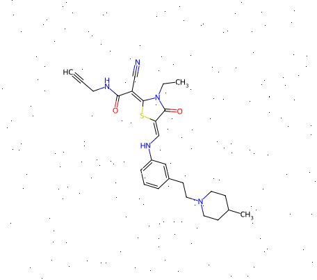 C#CCNC(=O)C(C#N)=c1sc(=CNc2cccc(CCN3CCC(C)CC3)c2)c(=O)n1CC